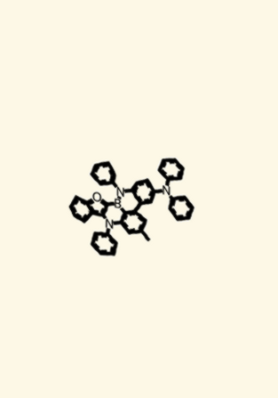 Cc1cc2c3c(c1)N(c1ccccc1)c1c(oc4ccccc14)B3N(c1ccccc1)c1ccc(N(c3ccccc3)c3ccccc3)cc1-2